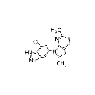 Cc1ccc2cc(C)n(-c3cc(Cl)c4[nH]ncc4c3)c2n1